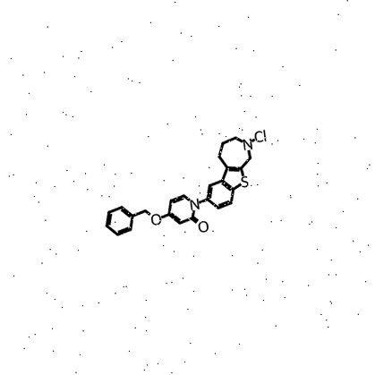 O=c1cc(OCc2ccccc2)ccn1-c1ccc2sc3c(c2c1)CCCN(Cl)C3